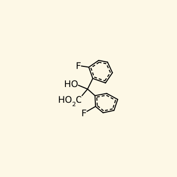 O=C(O)C(O)(c1ccccc1F)c1ccccc1F